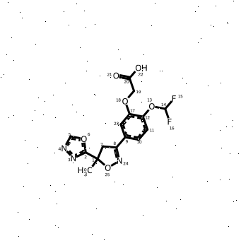 CC1(c2nnco2)CC(c2ccc(OC(F)F)c(OCC(=O)O)c2)=NO1